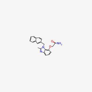 Cc1nc2cccc(OCC(N)=O)c2n1Cc1ccc2ccccc2c1